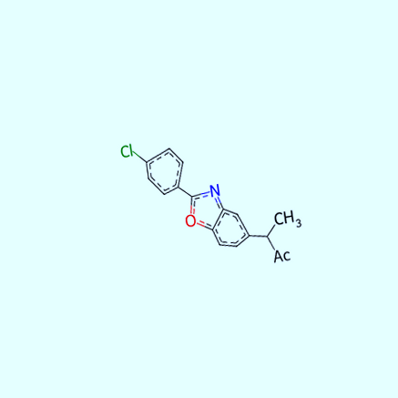 CC(=O)C(C)c1ccc2oc(-c3ccc(Cl)cc3)nc2c1